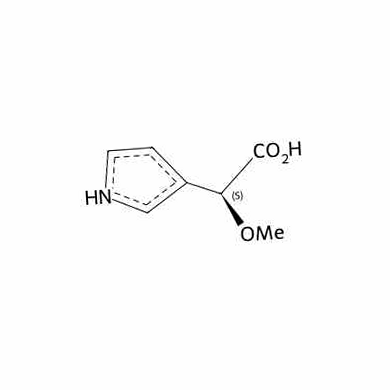 CO[C@H](C(=O)O)c1cc[nH]c1